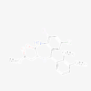 COC(=O)CC1SC(c2cccc(OC)c2OC)c2cc(Cl)cc(F)c2NC1=O